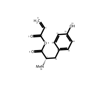 C=CC(=O)OC(=O)[C@H](Cc1ccc(O)cc1)NC